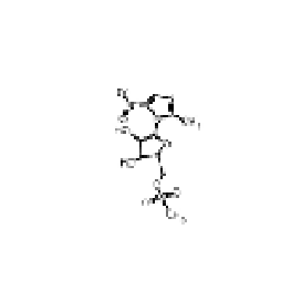 Cc1ncc([N+](=O)[O-])n1C1OC(COS(C)(=O)=O)C(O)C1O